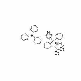 CCC(=C[SiH2]C(c1ccccc1)(c1ccccc1)n1ccnc1)CC.c1ccc(B(c2ccccc2)c2ccccc2)cc1